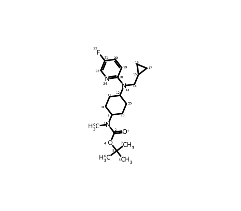 CN(C(=O)OC(C)(C)C)C1CCC(N(CC2CC2)c2ccc(F)cn2)CC1